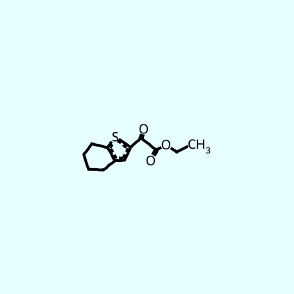 CCOC(=O)C(=O)c1cc2c(s1)CCCC2